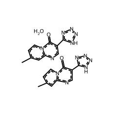 Cc1ccn2c(=O)c(-c3nnn[nH]3)cnc2c1.Cc1ccn2c(=O)c(-c3nnn[nH]3)cnc2c1.O